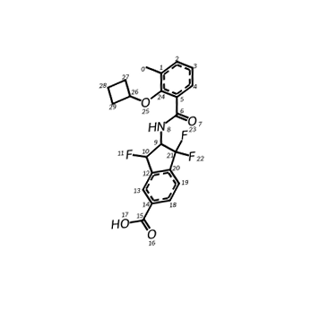 Cc1cccc(C(=O)NC2C(F)c3cc(C(=O)O)ccc3C2(F)F)c1OC1CCC1